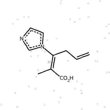 C=CC/C(=C(/C)C(=O)O)n1ccnc1